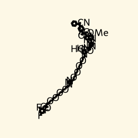 COc1cnc(-n2cnc(C(=O)N[C@@H]3CN(CCOCCOCCOCCOCc4cn(CCOCCOCCOCCOCCC(=O)Oc5c(F)cc(F)cc5F)nn4)C[C@H]3O)n2)c2[nH]cc(C(=O)C(=O)N3CCC(=C(C#N)c4ccccc4)CC3)c12